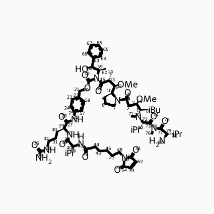 CC[C@H](C)[C@@H]([C@@H](CC(=O)N1CCC[C@H]1[C@H](OC)[C@@H](C)C(=O)N(C(=O)OCc1ccc(NC(=O)[C@H](CCCNC(N)=O)NC(=O)[C@@H](NC(=O)CCCCCN2C(=O)C=CC2=O)C(C)C)cc1)[C@H](C)[C@@H](O)c1ccccc1)OC)N(C)[C@H](C(=O)N(C)C(=O)[C@@H](N)C(C)C)C(C)C